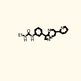 CCNC(=O)Nc1cccc(-c2cnn3cc(-c4ccccn4)cnc23)c1